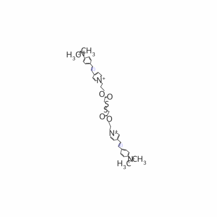 CN(C)c1ccc(/C=C/c2cc[n+](CCCOC(=O)CSSCC(=O)OCCC[n+]3ccc(/C=C/c4ccc(N(C)C)cc4)cc3)cc2)cc1